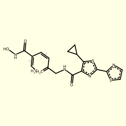 C=C(/C=C\C(=C/C)C(=O)NO)CNC(=O)c1nc(-c2nccs2)sc1C1CC1